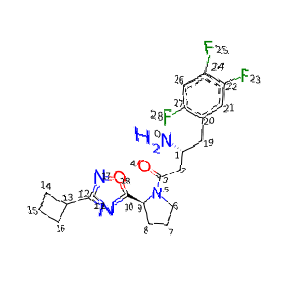 N[C@@H](CC(=O)N1CCC[C@H]1c1nc(C2CCC2)no1)Cc1cc(F)c(F)cc1F